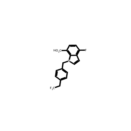 O=C(O)c1ccc(F)c2ccn(Cc3ccc(CC(F)(F)F)cc3)c12